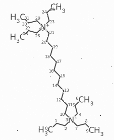 CCC[N+](CCC)(CCC)CCCCCCCCCCCC[N+](CCC)(CCC)CCC